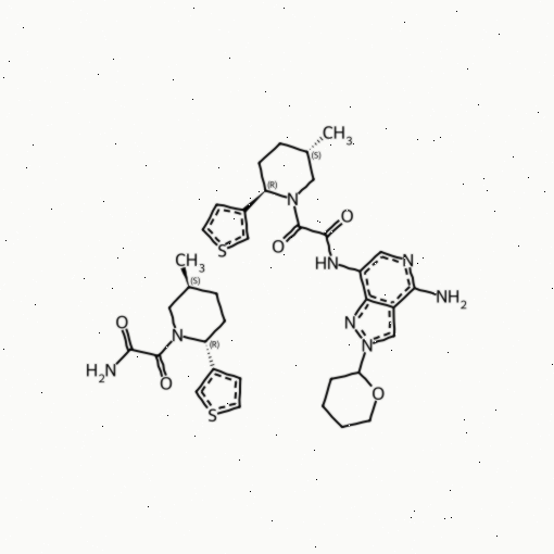 C[C@H]1CC[C@H](c2ccsc2)N(C(=O)C(=O)Nc2cnc(N)c3cn(C4CCCCO4)nc23)C1.C[C@H]1CC[C@H](c2ccsc2)N(C(=O)C(N)=O)C1